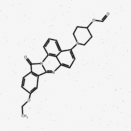 CCOc1ccc2c(c1)C1=Nc3ccc(N4CCC(OC=O)CC4)c4cccc(c34)N1C2=O